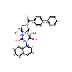 O=C1[C@@H]2C3C[C@H](CN3C(=O)c3ccc(-c4ccccc4)cc3)N2C(=O)N1c1cccc2ccccc12